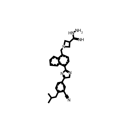 CC(C)Cc1ccc(C2=NC(c3ccc(CN4CC(C(=N)NN)C4)c4ccccc34)=NC2)cc1C#N